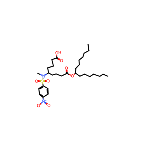 CCCCCCCC(CCCCCCC)OC(=O)CCCC(CCCC(=O)O)N(C)S(=O)(=O)c1ccc([N+](=O)[O-])cc1